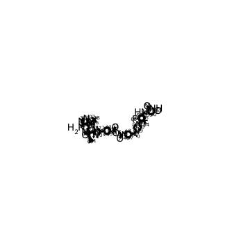 C[C@@H](C1CCN(C(=O)COC(=O)N2CCC(c3cnc(-c4c(-c5nn(C(C)(C)C)c6ncnc(N)c56)noc4C4CC4)nc3)CC2)CC1)N1CCN(c2c(F)cc(NC3CCC(=O)NC3=O)cc2F)CC1